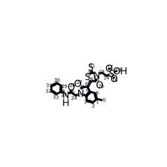 Cc1ccc2c(c1)/C(=C1/SC(=S)N(CCS(=O)(=O)O)C1=O)C(=O)N2CC(=O)Nc1ccccc1